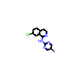 Clc1ccc2ccnc(Nc3ncc(I)cn3)c2c1